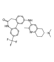 Cc1nc2c(cc1Nc1ccc3c(c1)-c1ccc(C(F)(F)F)cc1NC(=O)C3)C[C@H](N(C)C)CC2